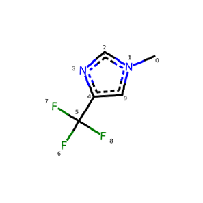 Cn1[c]nc(C(F)(F)F)c1